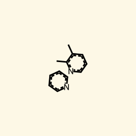 Cc1cccnc1C.c1ccncc1